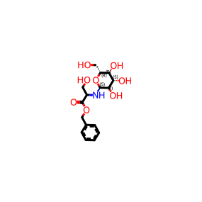 O=C(OCc1ccccc1)C(CO)N[C@H]1O[C@H](CO)[C@H](O)[C@H](O)[C@H]1O